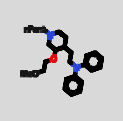 CCCCCN1CCC(CCN(c2ccccc2)c2ccccc2)C(OCCOC)C1